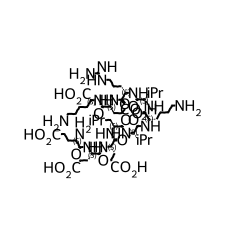 CC(C)C[C@H](NC(=O)[C@H](CCC(=O)O)NC(=O)[C@H](CCC(=O)O)NC(=O)[C@@H](N)CCC(=O)O)C(=O)N[C@H](C(=O)N[C@@H](CCCCN)C(=O)N[C@H](C(=O)N[C@@H](CCCNC(=N)N)C(=O)N[C@@H](CCC(=O)O)C(=O)N[C@@H](CCCCN)C(=O)O)C(C)C)C(C)C